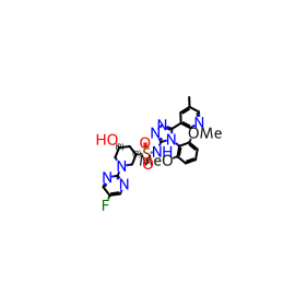 COc1cccc(OC)c1-n1c(NS(=O)(=O)[C@@H]2C[C@@H](O)CN(c3ncc(F)cn3)C2)nnc1-c1cncc(C)c1